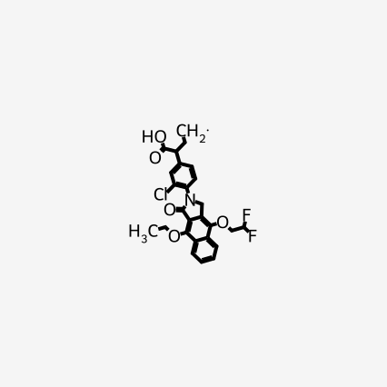 [CH2]CC(C(=O)O)c1ccc(N2Cc3c(c(OCC)c4ccccc4c3OCC(F)F)C2=O)c(Cl)c1